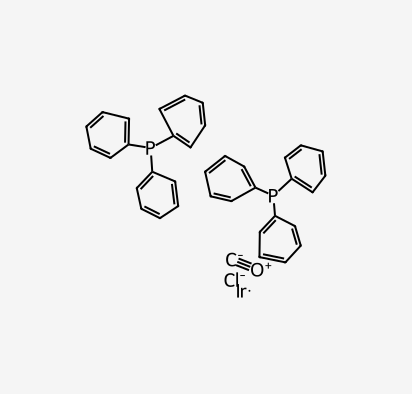 [C-]#[O+].[Cl-].[Ir].c1ccc(P(c2ccccc2)c2ccccc2)cc1.c1ccc(P(c2ccccc2)c2ccccc2)cc1